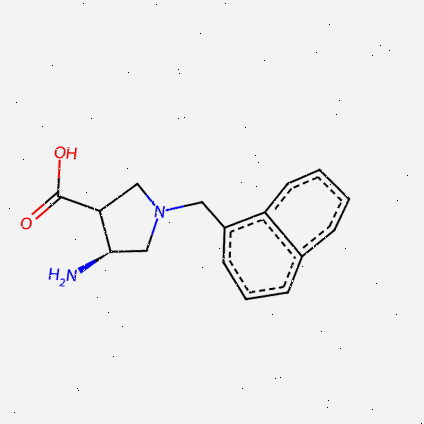 N[C@@H]1CN(Cc2cccc3ccccc23)CC1C(=O)O